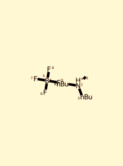 CCCC[NH+](C)CCCC.F[B-](F)(F)F